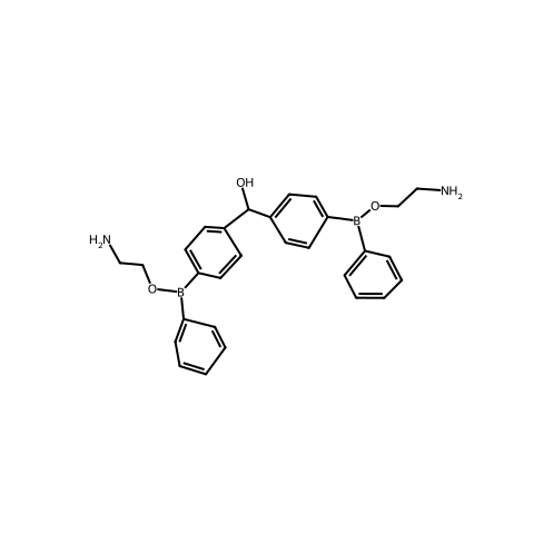 NCCOB(c1ccccc1)c1ccc(C(O)c2ccc(B(OCCN)c3ccccc3)cc2)cc1